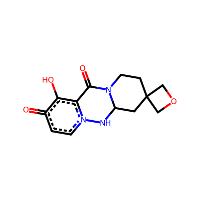 O=C1c2c(O)c(=O)ccn2NC2CC3(CCN12)COC3